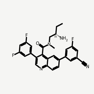 CC[C@H](N)CN(C)C(=O)c1c(-c2cc(F)cc(F)c2)cnc2ccc(-c3cc(F)cc(C#N)c3)cc12